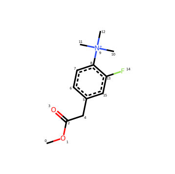 COC(=O)Cc1ccc([N+](C)(C)C)c(F)c1